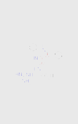 N=C(N)NCCC[C@H](NC(=O)C(NC(=O)C(c1ccccc1)C1CCCC1)c1ccccc1)C(=O)NCC(=O)O